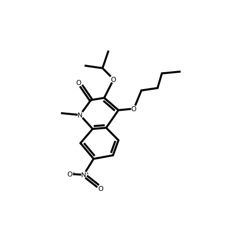 CCCCOc1c(OC(C)C)c(=O)n(C)c2cc([N+](=O)[O-])ccc12